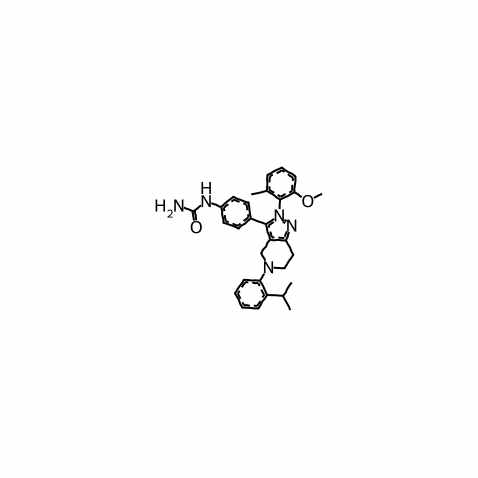 COc1cccc(C)c1-n1nc2c(c1-c1ccc(NC(N)=O)cc1)CN(c1ccccc1C(C)C)CC2